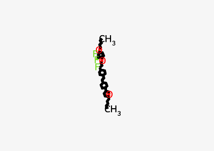 CCCCCOc1ccc(OCCC(F)C2CCC(/C=C/C3CCC(C4CCC(CCCCC)OC4)CC3)CC2)c(F)c1F